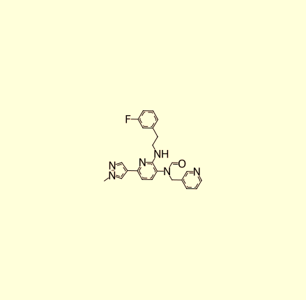 Cn1cc(-c2ccc(N(C=O)Cc3cccnc3)c(NCCc3cccc(F)c3)n2)cn1